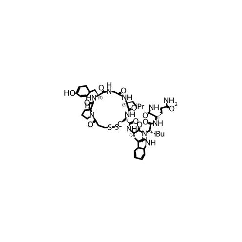 CCC(C)[C@H](NC(=O)[C@H](CC1=CNC2C=CC=CC12)NC(=O)[C@@H]1CSSCCC(=O)N2CCC[C@H]2C(=O)N[C@@H](CC2C=CC(O)=CC2)C(=O)NCC(=O)N[C@@H](CC(C)C)C(=O)N1)C(=O)N[C@@H](CCC(N)=O)C(N)=O